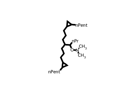 CCCCCC1CC1CCCC(CCCC1CC1CCCCC)C(CCC)ON(C)C